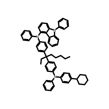 CCCCCC(CC)(c1ccc(N(c2ccccc2)c2ccc(C3CCCCC3)cc2)cc1)c1ccc(N(c2ccccc2)c2cccc3c2c2ccccc2n3-c2ccccc2)cc1